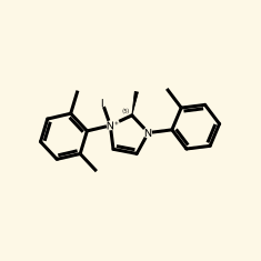 Cc1ccccc1N1C=C[N+](I)(c2c(C)cccc2C)[C@H]1C